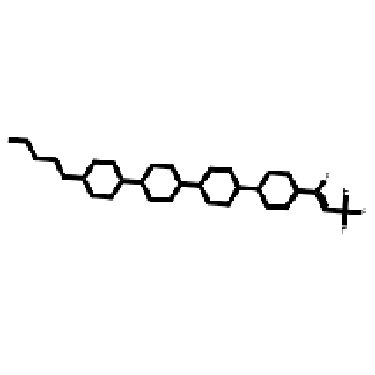 CCCCCC1CCC(C2CCC(C3CCC(C4CCC(/C(F)=C/C(F)(F)F)CC4)CC3)CC2)CC1